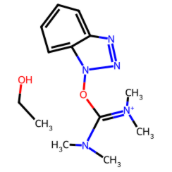 CCO.CN(C)C(On1nnc2ccccc21)=[N+](C)C